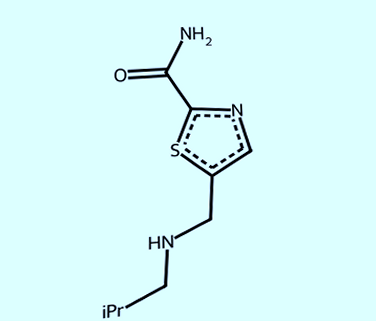 CC(C)CNCc1cnc(C(N)=O)s1